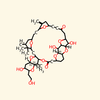 C=C1CC2CCC(=O)CC3OC4C(O)[C@H]5OC(CCC5O[C@H]4C3O)CC(=O)OC3C(CC4OC(CCC1O2)CC(C)C4(C)C)O[C@H]1CC(O)C(CCO)O[C@H]1[C@@H]3C